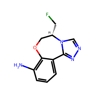 Nc1cccc2c1OC[C@H](CF)n1cnnc1-2